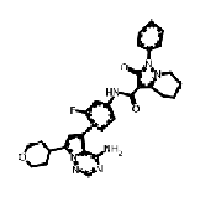 Nc1ncnn2c(C3CCOCC3)cc(-c3ccc(NC(=O)c4c5n(n(-c6ccccc6)c4=O)CCCC5)cc3F)c12